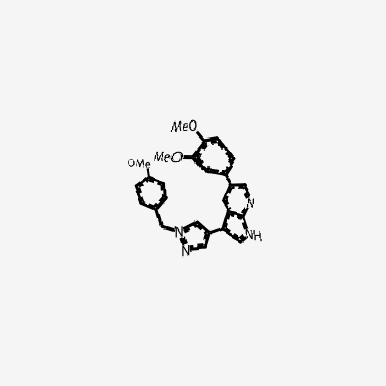 COc1ccc(Cn2cc(-c3c[nH]c4ncc(-c5ccc(OC)c(OC)c5)cc34)cn2)cc1